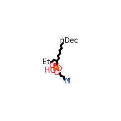 CCCCCCCCCCCCCCCCCC(COP(=O)(O)OCCCCN(C)C)CC(=O)CC